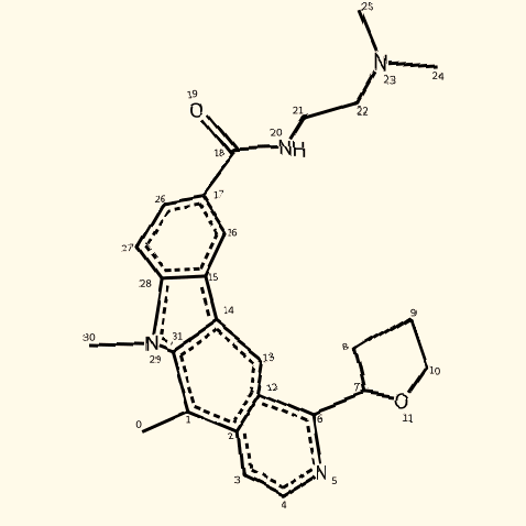 Cc1c2ccnc(C3CCCO3)c2cc2c3cc(C(=O)NCCN(C)C)ccc3n(C)c12